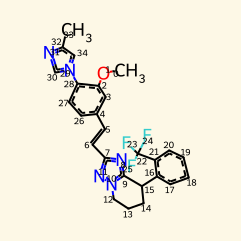 COc1cc(C=Cc2nc3n(n2)CCCC3c2ccccc2C(F)(F)F)ccc1-n1cnc(C)c1